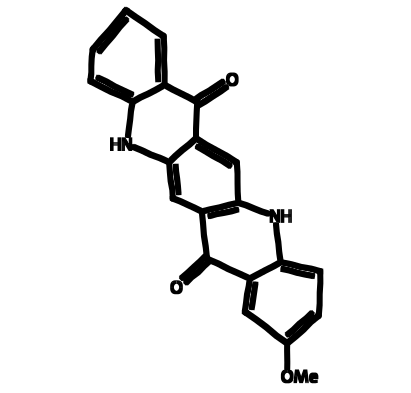 COc1ccc2[nH]c3cc4c(=O)c5ccccc5[nH]c4cc3c(=O)c2c1